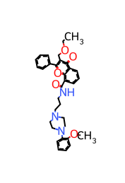 CCOCc1c(-c2ccccc2)oc2c(C(=O)NCCCN3CCN(c4ccccc4OC)CC3)cccc2c1=O